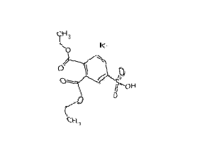 CCOC(=O)c1ccc(S(=O)(=O)O)cc1C(=O)OCC.[K]